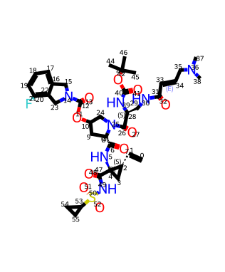 C=C[C@@H]1C[C@]1(NC(=O)[C@@H]1CC(OC(=O)N2Cc3cccc(F)c3C2)CN1C(=O)[C@H](CNC(=O)/C=C/CN(C)C)NC(=O)OC(C)(C)C)C(=O)NS(=O)(=O)C1CC1